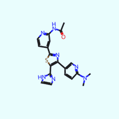 CC(=O)Nc1cc(-c2nc(-c3ccc(N(C)C)nc3)c(-c3ncc[nH]3)s2)ccn1